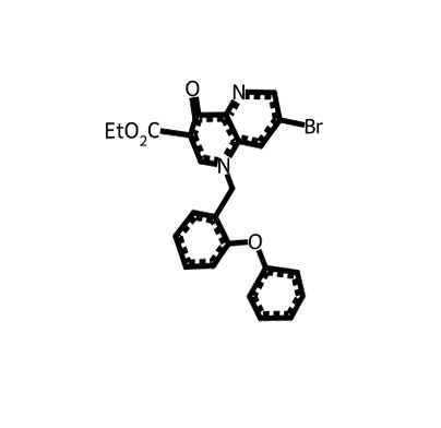 CCOC(=O)c1cn(Cc2ccccc2Oc2ccccc2)c2cc(Br)cnc2c1=O